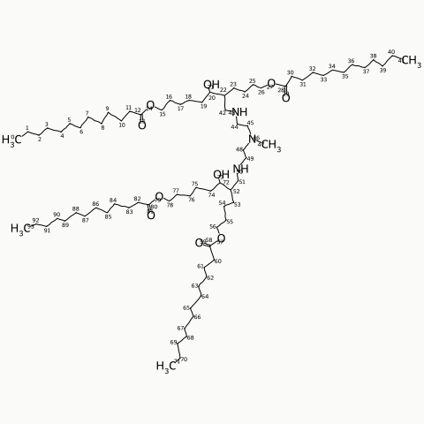 CCCCCCCCCCCCC(=O)OCCCCCC(O)C(CCCCOC(=O)CCCCCCCCCCCC)CNCCN(C)CCNCC(CCCCOC(=O)CCCCCCCCCCCC)C(O)CCCCCOC(=O)CCCCCCCCCCCC